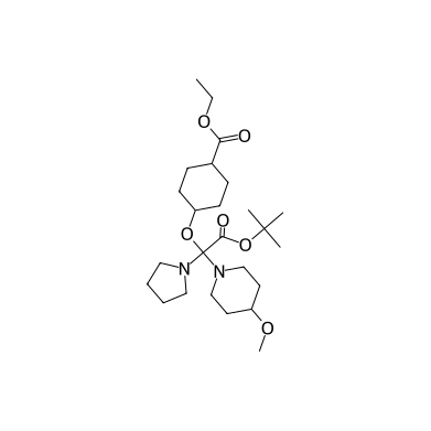 CCOC(=O)C1CCC(OC(C(=O)OC(C)(C)C)(N2CCCC2)N2CCC(OC)CC2)CC1